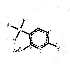 CC[Si](CC)(CC)c1cnc(O)nc1NC(C)=O